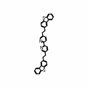 c1ccc2c(c1)sc1ccc(CCc3ccc(-c4ccc(CCc5ccc6sc7ccccc7c6c5)cn4)nc3)cc12